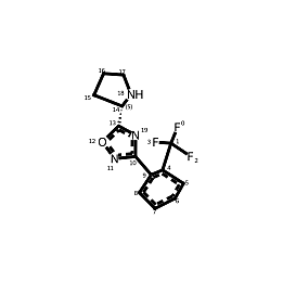 FC(F)(F)c1ccccc1-c1noc([C@@H]2CCCN2)n1